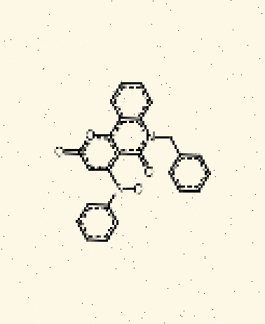 O=c1cc([S+]([O-])c2ccccc2)c2c(=O)n(Cc3ccccc3)c3ccccc3c2o1